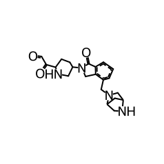 O=CC(=O)C1CCC(N2Cc3c(CN4CC5CC4CN5)cccc3C2=O)CN1